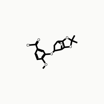 COc1ccc(C(=O)Cl)cc1OC1CC2OC1C1OC(C)(C)OC21